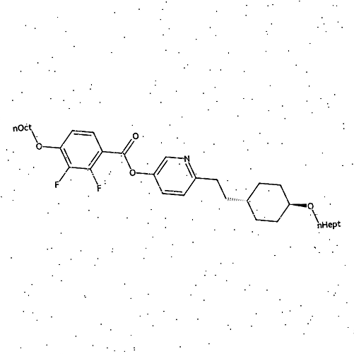 CCCCCCCCOc1ccc(C(=O)Oc2ccc(CC[C@H]3CC[C@H](OCCCCCCC)CC3)nc2)c(F)c1F